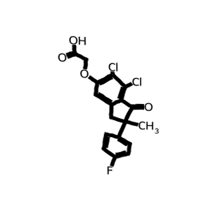 CC1(c2ccc(F)cc2)Cc2cc(OCC(=O)O)c(Cl)c(Cl)c2C1=O